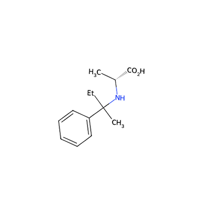 CCC(C)(N[C@H](C)C(=O)O)c1ccccc1